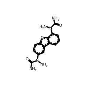 NC(=O)N(N)c1ccc2oc3c(N(N)C(N)=O)cccc3c2c1